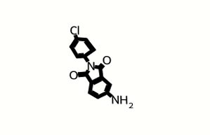 Nc1ccc2c(c1)C(=O)N(c1ccc(Cl)cc1)C2=O